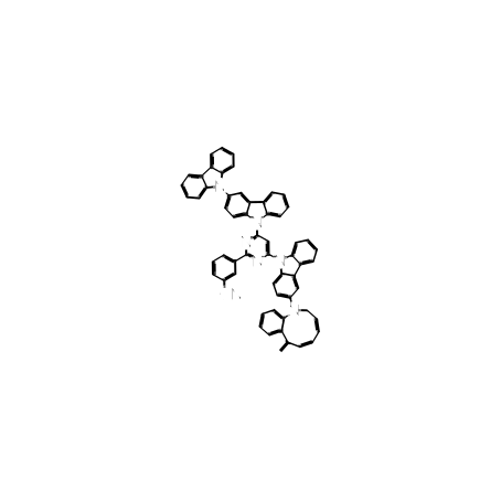 C=C1/C=C\C=C/CN(c2ccc3c(c2)c2ccccc2n3-c2cc(-n3c4ccccc4c4cc(-n5c6ccccc6c6ccccc65)ccc43)nc(-c3cccc(C#N)c3)n2)c2ccccc21